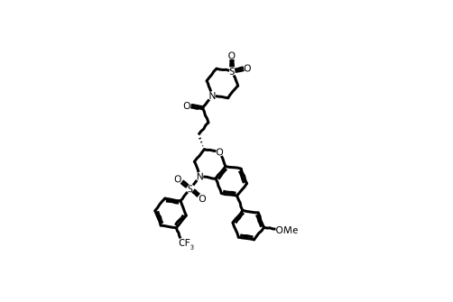 COc1cccc(-c2ccc3c(c2)N(S(=O)(=O)c2cccc(C(F)(F)F)c2)C[C@H](CCC(=O)N2CCS(=O)(=O)CC2)O3)c1